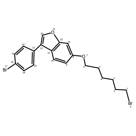 BrCCCCCCOc1ccc2c(-c3ccc(Br)cc3)coc2c1